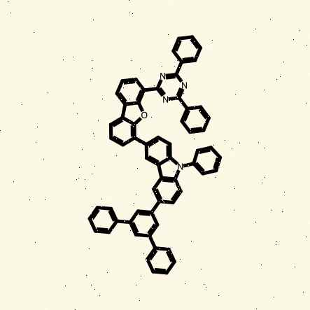 c1ccc(-c2cc(-c3ccccc3)cc(-c3ccc4c(c3)c3cc(-c5cccc6c5oc5c(-c7nc(-c8ccccc8)nc(-c8ccccc8)n7)cccc56)ccc3n4-c3ccccc3)c2)cc1